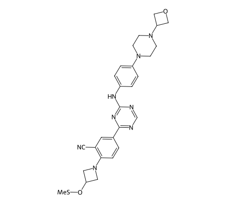 CSOC1CN(c2ccc(-c3ncnc(Nc4ccc(N5CCN(C6COC6)CC5)cc4)n3)cc2C#N)C1